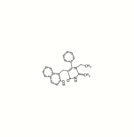 C=C1NC(=O)C(Cc2c(O)ccc3ccccc23)=C(c2ccccc2)N1CC